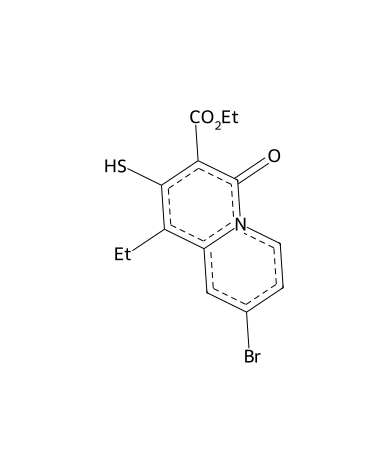 CCOC(=O)c1c(S)c(CC)c2cc(Br)ccn2c1=O